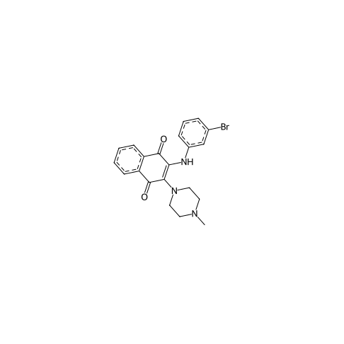 CN1CCN(C2=C(Nc3cccc(Br)c3)C(=O)c3ccccc3C2=O)CC1